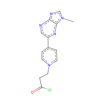 Cn1cnc2ncc(-c3cc[n+](CCC(=O)Cl)cc3)nc21